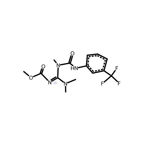 COC(=O)/N=C(/N(C)C)N(C)C(=O)Nc1cccc(C(F)(F)F)c1